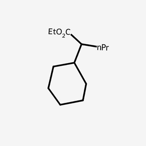 CCCC(C(=O)OCC)C1CCCCC1